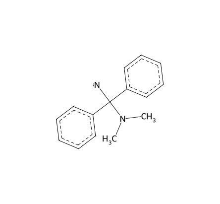 CN(C)C([N])(c1ccccc1)c1ccccc1